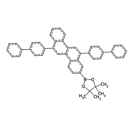 CC1(C)OB(c2ccc3c(c2)c(-c2ccc(-c4ccccc4)cc2)cc2c4ccccc4c(-c4ccc(-c5ccccc5)cc4)cc32)OC1(C)C